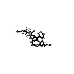 COC[C@](C)(NC(=O)c1ccc2c(C3CCCCC3)c3n(c2c1)CCOc1cc(OC)ccc1-3)C(=O)O